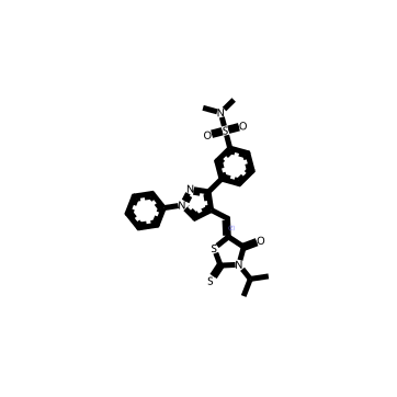 CC(C)N1C(=O)/C(=C/c2cn(-c3ccccc3)nc2-c2cccc(S(=O)(=O)N(C)C)c2)SC1=S